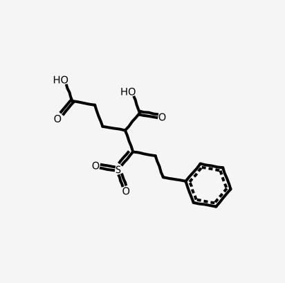 O=C(O)CCC(C(=O)O)C(CCc1ccccc1)=S(=O)=O